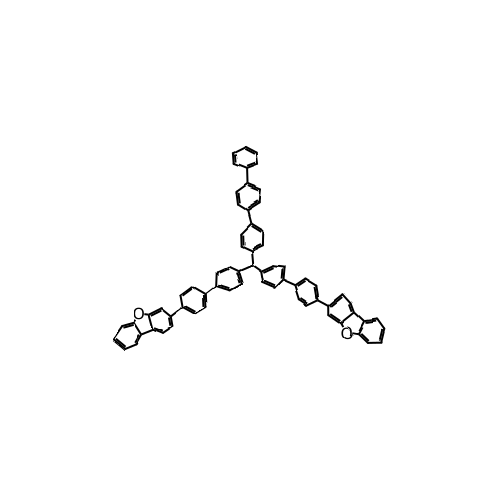 c1ccc(-c2ccc(-c3ccc(C(c4ccc(-c5ccc(-c6ccc7c(c6)oc6ccccc67)cc5)cc4)c4ccc(-c5ccc(-c6ccc7c(c6)oc6ccccc67)cc5)cc4)cc3)cc2)cc1